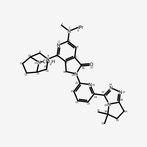 CC(C)N(C)c1cc2c(c(N3CC4CCC(C3)N4C(=O)O)n1)CN(c1cccc(-c3nnc4n3C(C)(C)CC4)n1)C2=O